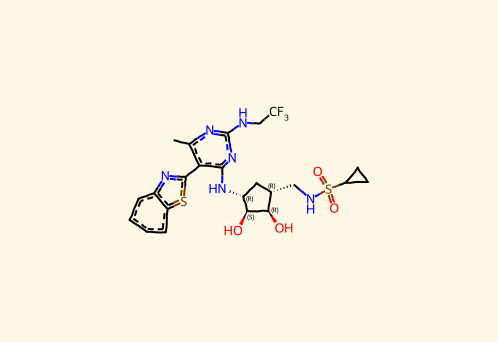 Cc1nc(NCC(F)(F)F)nc(N[C@@H]2C[C@H](CNS(=O)(=O)C3CC3)[C@@H](O)[C@H]2O)c1-c1nc2ccccc2s1